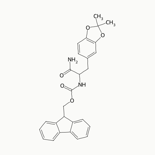 CC1(C)Oc2ccc(CC(NC(=O)OCC3c4ccccc4-c4ccccc43)C(N)=O)cc2O1